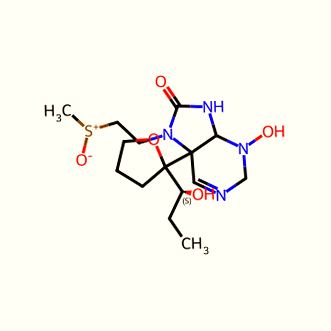 CC[C@H](O)C1(C23C=NCN(O)C2NC(=O)N3CC[S+](C)[O-])CCCO1